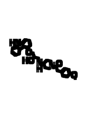 COc1ccc(CC(=O)N2CCC(NCC(O)COc3cccc4[nH]c5ccccc5c34)CC2)cc1